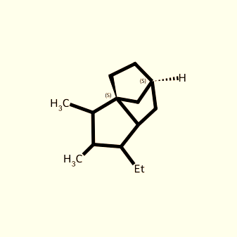 CCC1C(C)C(C)[C@@]23CC[C@@H](CC12)C3